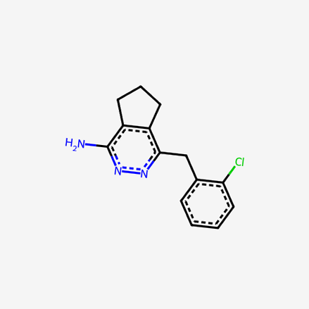 Nc1nnc(Cc2ccccc2Cl)c2c1CCC2